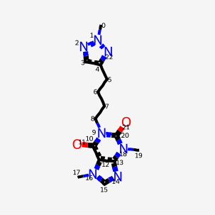 Cn1ncc(CCCCn2c(=O)c3c(ncn3C)n(C)c2=O)n1